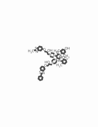 Cc1nc2cc(OCC(O)CN3CCN(C(C(=O)Nc4c(C)cc(O)cc4C)C(C(=O)Nc4c(C)cccc4C)N4CCN(C[C@@H](O)COc5ccc6sc(-c7ccccc7)nc6c5)CC4)CC3)ccc2s1